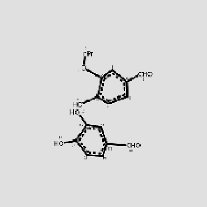 CCCOc1cc(C=O)ccc1O.O=Cc1ccc(O)c(O)c1